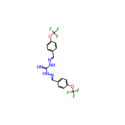 N=C(N/N=C/c1ccc(OC(F)(F)F)cc1)N/N=C/c1ccc(OC(F)(F)F)cc1